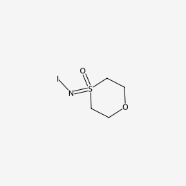 O=S1(=NI)CCOCC1